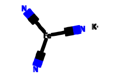 N#[C][Fe]([C]#N)[C]#N.[K]